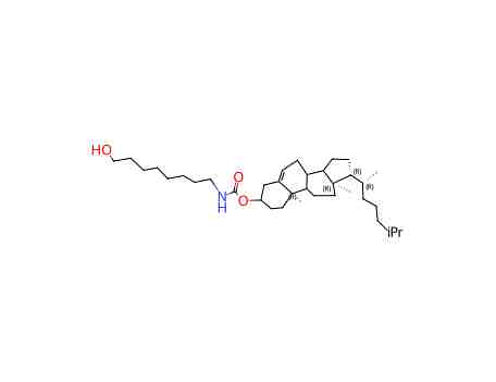 CC(C)CCC[C@@H](C)[C@H]1CCC2C3CC=C4CC(OC(=O)NCCCCCCCCO)CC[C@]4(C)C3CC[C@@]21C